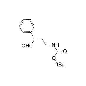 CC(C)(C)OC(=O)NCCC(C=O)c1ccccc1